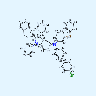 Cc1ccccc1-c1c(C)c2c(c3ccccc13)c1cc(N(c3ccc(-c4ccc(Br)cc4)cc3)c3ccc4c(c3)sc3ccccc34)ccc1n2-c1ccccc1